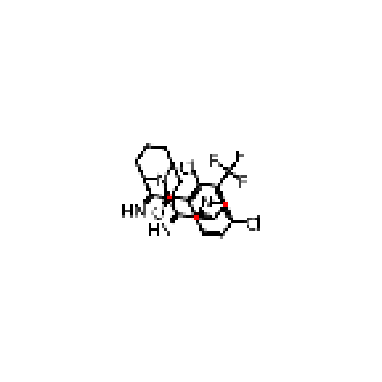 N=C(c1ccc(Cl)cn1)N1CC2CCCC(C1=N)N2C(=O)c1cccc(C(F)(F)F)c1Cl